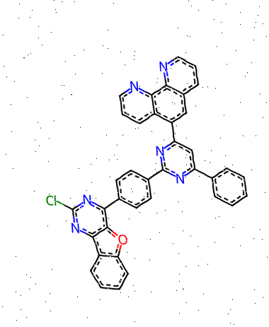 Clc1nc(-c2ccc(-c3nc(-c4ccccc4)cc(-c4cc5cccnc5c5ncccc45)n3)cc2)c2oc3ccccc3c2n1